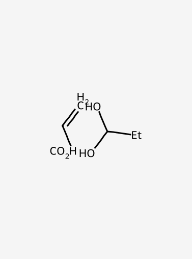 C=CC(=O)O.CCC(O)O